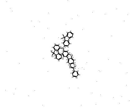 CC1(C)c2ccccc2-c2ccc(N(c3ccc4c(c3)oc3cc5oc(-c6ccccc6)nc5cc34)c3cccc4c3-c3ccccc3C4(C)C)cc21